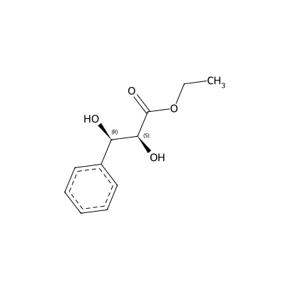 CCOC(=O)[C@@H](O)[C@H](O)c1ccccc1